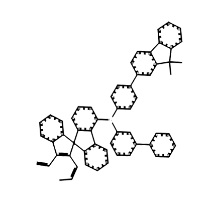 C=CC1=C(/C=C\C)C2(c3ccccc31)c1ccccc1-c1c(N(c3ccc(-c4ccc5c(c4)C(C)(C)c4ccccc4-5)cc3)c3cccc(-c4ccccc4)c3)cccc12